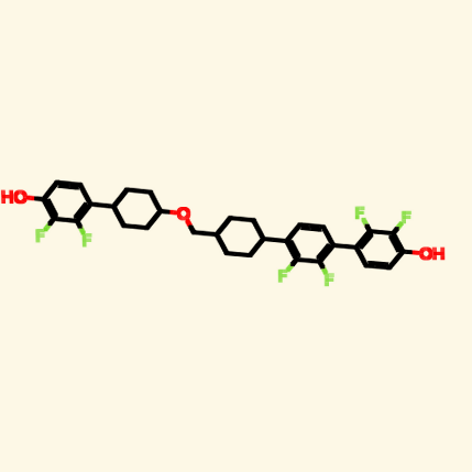 Oc1ccc(-c2ccc(C3CCC(COC4CCC(c5ccc(O)c(F)c5F)CC4)CC3)c(F)c2F)c(F)c1F